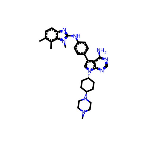 Cc1ccc2nc(Nc3ccc(-c4cn([C@H]5CC[C@H](N6CCN(C)CC6)CC5)c5ncnc(N)c45)cc3)n(C)c2c1C